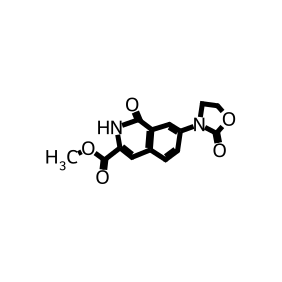 COC(=O)c1cc2ccc(N3CCOC3=O)cc2c(=O)[nH]1